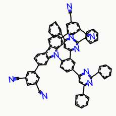 N#Cc1cc(C#N)cc(-c2ccc3c4ccc(-c5cc(C#N)cc(C#N)c5)cc4n(-c4ccc(-c5cc(-c6ccccc6)nc(-c6ccccc6)n5)cc4-c4cc(-c5ccccc5)nc(-c5ccccc5)n4)c3c2)c1